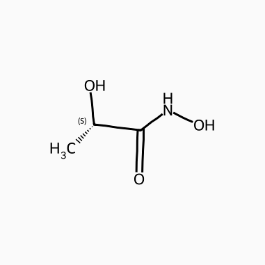 C[C@H](O)C(=O)NO